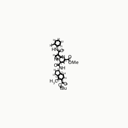 COC(=O)c1cc(C(=O)N[C@H]2CCc3c2ccc(C(=O)OC(C)(C)C)c3C)n2ncc(C(=O)Nc3ccccc3I)c2n1